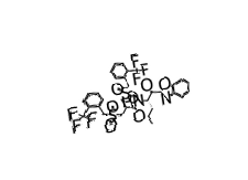 CCC[C@H](NC(=O)C(CS(=O)(=O)Cc1ccccc1C(F)(F)F)CS(=O)(=O)Cc1ccccc1C(F)(F)F)C(=O)c1nc2ccccc2o1